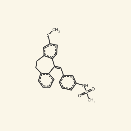 CSc1ccc2c(c1)CCc1ccccc1/C2=C\c1cccc(NS(C)(=O)=O)c1